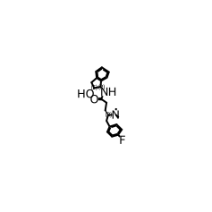 CN(C)[C@H](CCC(=O)N[C@@H]1c2ccccc2C[C@@H]1O)Cc1ccc(F)cc1